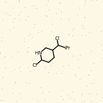 CC(C)C(Cl)C1CCC(Cl)NC1